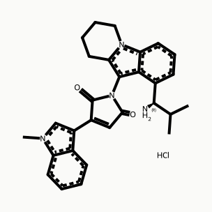 CC(C)[C@@H](N)c1cccc2c1c(N1C(=O)C=C(c3cn(C)c4ccccc34)C1=O)c1n2CCCC1.Cl